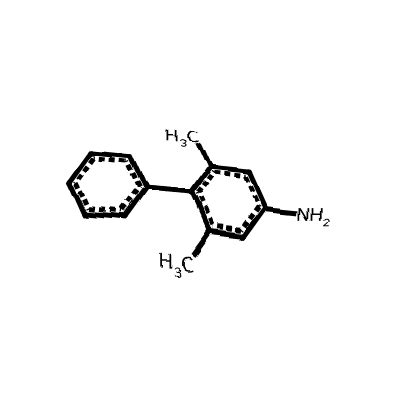 Cc1cc(N)cc(C)c1-c1ccccc1